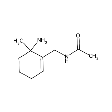 CC(=O)NCC1=CCCCC1(C)N